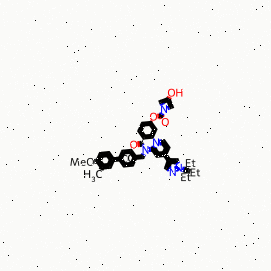 CCC(CC)(CC)n1cc(-c2ccnc(N(CC34CCC(c5ccc(OC)c(C)c5)(CC3)CC4)C(=O)[C@H]3CC[C@H](OC(=O)N4CC(O)C4)CC3)c2)cn1